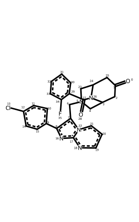 O=C1CC2CN(Cc3c(-c4ccc(Cl)cc4)nc4ncccn34)CC(C1)N2C(=O)c1ccccc1F